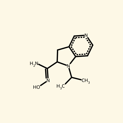 CC(C)N1c2ccncc2CC1/C(N)=N/O